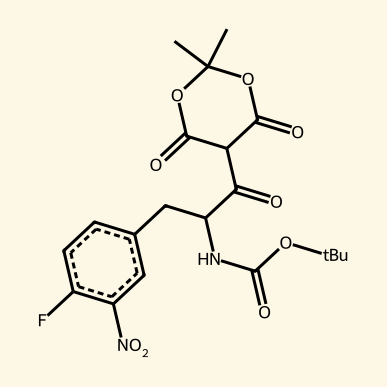 CC(C)(C)OC(=O)NC(Cc1ccc(F)c([N+](=O)[O-])c1)C(=O)C1C(=O)OC(C)(C)OC1=O